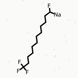 F[CH]([Na])CCCCCCCCCCC(F)(F)F